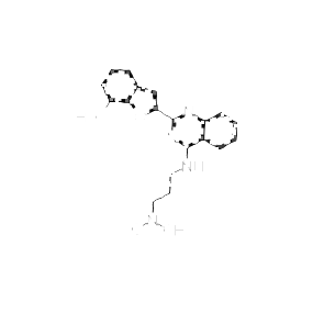 Cc1cccc2cc(-c3nc(NCCCN(C)C)c4ccccc4n3)oc12